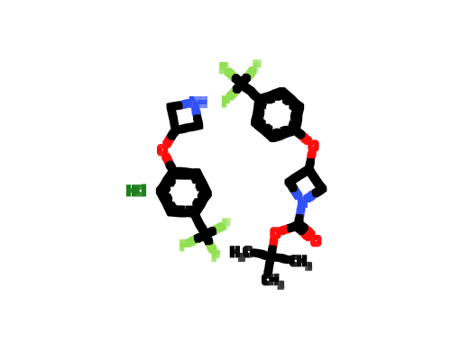 CC(C)(C)OC(=O)N1CC(Oc2ccc(C(F)(F)F)cc2)C1.Cl.FC(F)(F)c1ccc(OC2CNC2)cc1